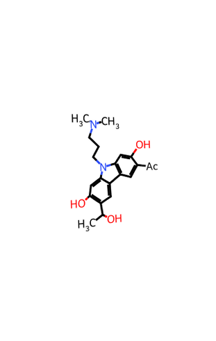 CC(=O)c1cc2c3cc(C(C)O)c(O)cc3n(CCCN(C)C)c2cc1O